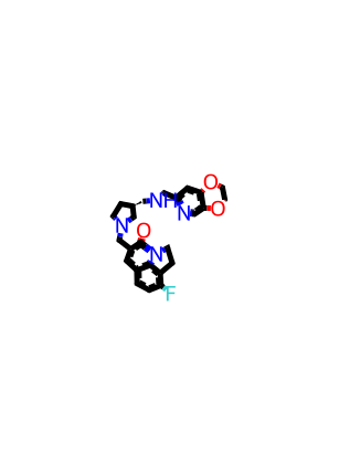 O=c1c(CN2CC[C@H](CNCc3cc4c(cn3)OCCO4)C2)cc2ccc(F)c3c2n1CC3